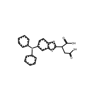 O=C(S)CC(C(=O)O)c1nc2ccc(N(c3ccccc3)c3ccccc3)cc2s1